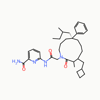 CCC(C)C[C@]1(c2ccccc2)CCCC(CC2CCC2)C(C)C(=O)N(CC(=O)Nc2cccc(C(N)=O)n2)CCC1